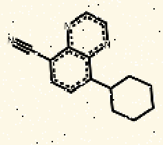 N#Cc1ccc(C2CCCCC2)c2nccnc12